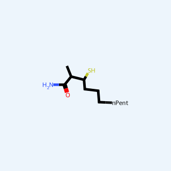 CCCCCCCCC(S)C(C)C(N)=O